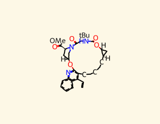 C=Cc1c2c(nc3ccccc13)O[C@@H]1C[C@@H](C(=O)OC)N(C1)C(=O)[C@H](C(C)(C)C)NC(=O)O[C@@H]1C[C@H]1CCCCC2